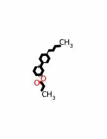 CCCCC[C@H]1CC[C@@H]([C@@H]2CCC[C@@H](OC(=O)CCC)C2)CC1